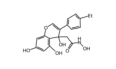 CCc1ccc(C2=COc3cc(O)cc(O)c3C2(O)CC(=O)NO)cc1